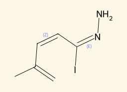 C=C(C)/C=C\C(I)=N/N